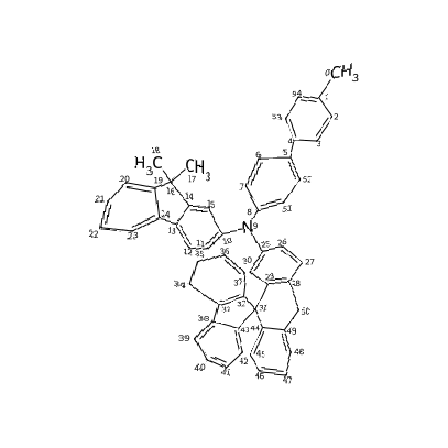 Cc1ccc(-c2ccc(N(c3ccc4c(c3)C(C)(C)c3ccccc3-4)c3ccc4c(c3)C3(C5=C(CCC=C5)c5ccccc53)c3ccccc3C4)cc2)cc1